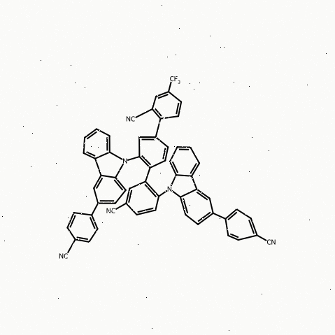 N#Cc1ccc(-c2ccc3c(c2)c2ccccc2n3-c2ccc(C#N)cc2-c2ccc(-c3ccc(C(F)(F)F)cc3C#N)cc2-n2c3ccccc3c3cc(-c4ccc(C#N)cc4)ccc32)cc1